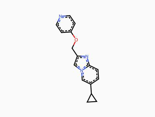 c1cc(OCc2cn3cc(C4CC4)ccc3n2)ccn1